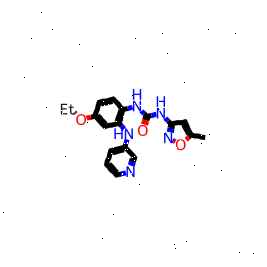 CCOc1ccc(NC(=O)Nc2cc(C)on2)c(Nc2cccnc2)c1